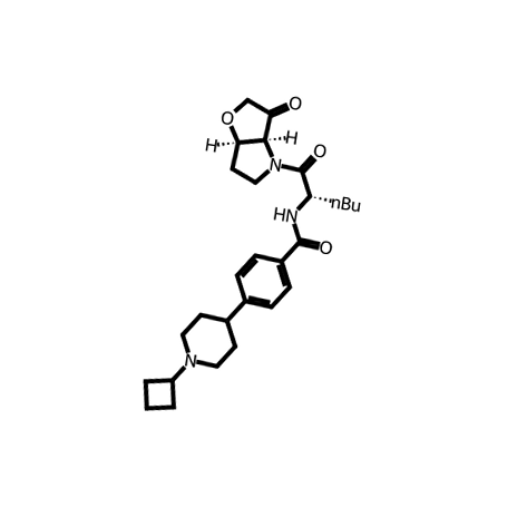 CCCC[C@H](NC(=O)c1ccc(C2CCN(C3CCC3)CC2)cc1)C(=O)N1CC[C@H]2OCC(=O)[C@H]21